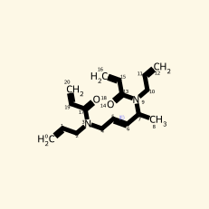 C=CCN(C/C=C/C(C)N(CC=C)C(=O)C=C)C(=O)C=C